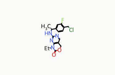 CCN1C(=O)OCc2cnc(N[C@@H](C)c3ccc(CCl)c(F)c3)nc21